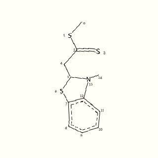 CSC(=S)CC1Sc2ccccc2N1C